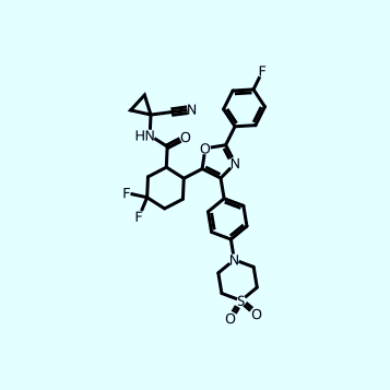 N#CC1(NC(=O)C2CC(F)(F)CCC2c2oc(-c3ccc(F)cc3)nc2-c2ccc(N3CCS(=O)(=O)CC3)cc2)CC1